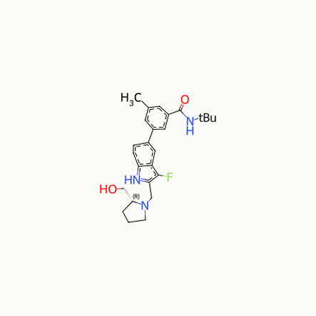 Cc1cc(C(=O)NC(C)(C)C)cc(-c2ccc3[nH]c(CN4CCC[C@@H]4CO)c(F)c3c2)c1